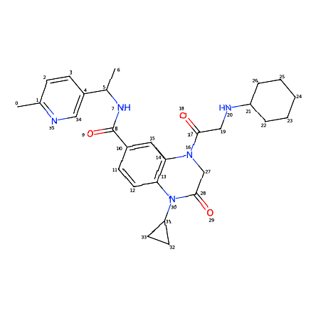 Cc1ccc(C(C)NC(=O)c2ccc3c(c2)N(C(=O)CNC2CCCCC2)CC(=O)N3C2CC2)cn1